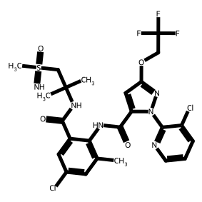 Cc1cc(Cl)cc(C(=O)NC(C)(C)CS(C)(=N)=O)c1NC(=O)c1cc(OCC(F)(F)F)nn1-c1ncccc1Cl